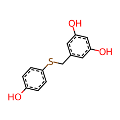 Oc1ccc(SCc2cc(O)cc(O)c2)cc1